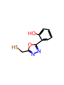 Oc1ccccc1-c1nnc(CS)o1